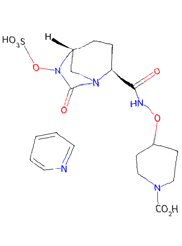 O=C(NOC1CCN(C(=O)O)CC1)[C@@H]1CC[C@@H]2CN1C(=O)N2OS(=O)(=O)O.c1ccncc1